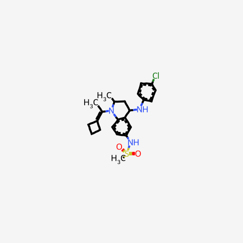 CC(=C1CCC1)N1c2ccc(NS(C)(=O)=O)cc2C(Nc2ccc(Cl)cc2)CC1C